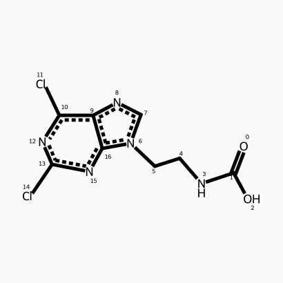 O=C(O)NCCn1cnc2c(Cl)nc(Cl)nc21